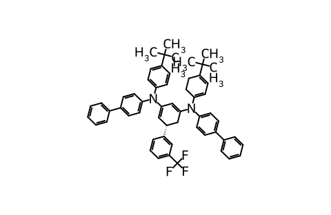 CC(C)(C)C1=CC=C(N(C2=CC(N(c3ccc(-c4ccccc4)cc3)c3ccc(C(C)(C)C)cc3)=C[C@@H](c3cccc(C(F)(F)F)c3)C2)c2ccc(-c3ccccc3)cc2)CC1